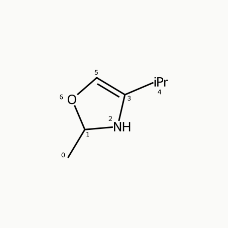 CC1NC(C(C)C)=CO1